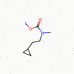 CN(CCC1CC1)C(=O)OI